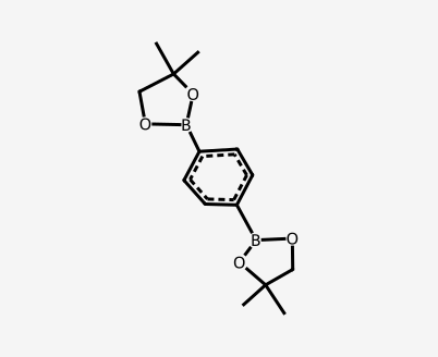 CC1(C)COB(c2ccc(B3OCC(C)(C)O3)cc2)O1